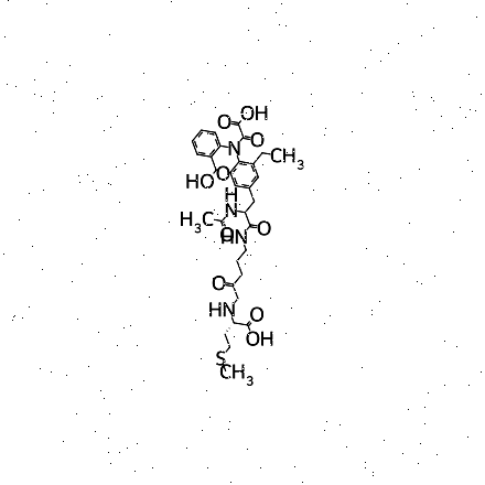 CCc1cc(CC(NC(C)=O)C(=O)NCCCC(=O)CN[C@@H](CCSC)C(=O)O)ccc1N(C(=O)C(=O)O)c1ccccc1C(=O)O